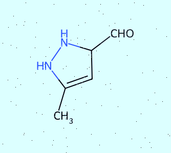 CC1=CC(C=O)NN1